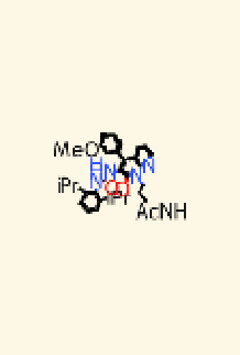 COc1cccc(-c2c(NC(=O)Nc3c(C(C)C)cccc3C(C)C)c(=O)n(CCCNC(C)=O)c3ncccc23)c1